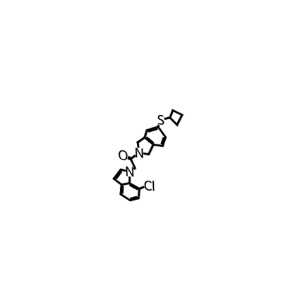 O=C(Cn1ccc2cccc(Cl)c21)N1Cc2ccc(SC3CCC3)cc2C1